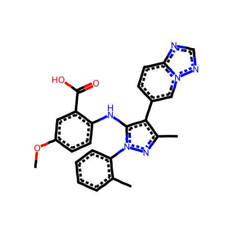 COc1ccc(Nc2c(-c3ccc4ncnn4c3)c(C)nn2-c2ccccc2C)c(C(=O)O)c1